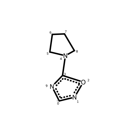 [c]1noc(N2CCCC2)n1